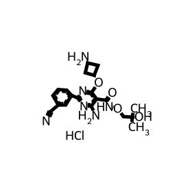 CC(C)(O)CONC(=O)c1c(N)nc(-c2cccc(C#N)c2)nc1O[C@H]1C[C@@H](N)C1.Cl